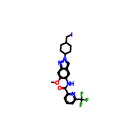 COc1cc2nn(C3CCC(CI)CC3)cc2cc1NC(=O)c1cccc(C(F)(F)F)n1